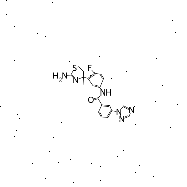 CC1(c2cc(NC(=O)c3cccc(-n4cncn4)c3)ccc2F)CCSC(N)=N1